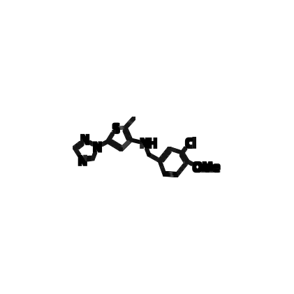 COc1ccc(CNc2cc(-n3cncn3)sc2C)cc1Cl